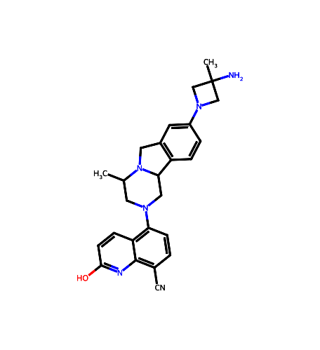 CC1CN(c2ccc(C#N)c3nc(O)ccc23)CC2c3ccc(N4CC(C)(N)C4)cc3CN12